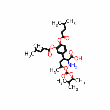 CC(C)CCC(=O)Oc1ccc(C(CC(C)OC(=O)OC(C)C(C)C)[C@H](N)C(=O)O)cc1OC(=O)CCC(C)C